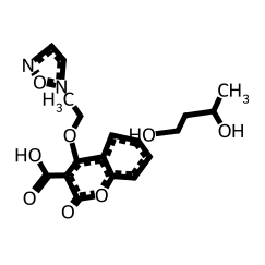 CC(O)CCO.CCOc1c(C(=O)O)c(=O)oc2ccccc12.c1cnon1